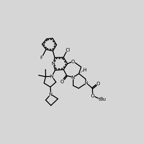 CC(C)(C)OC(=O)N1CCN2C(=O)c3c(N4CC(N5CCC5)CC4(C)C)nc(-c4ccccc4F)c(Cl)c3OC[C@H]2C1